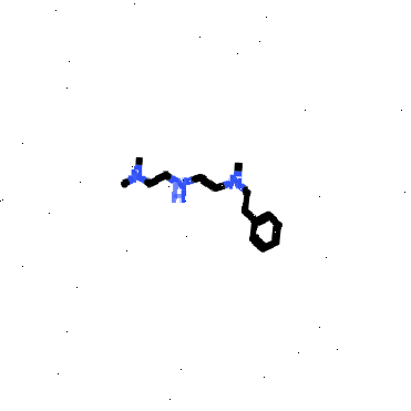 CN(C)CCNCCN(C)CCc1ccccc1